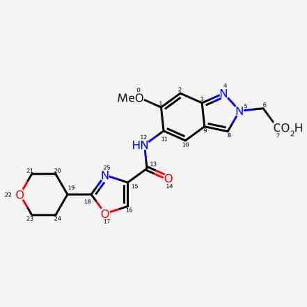 COc1cc2nn(CC(=O)O)cc2cc1NC(=O)c1coc(C2CCOCC2)n1